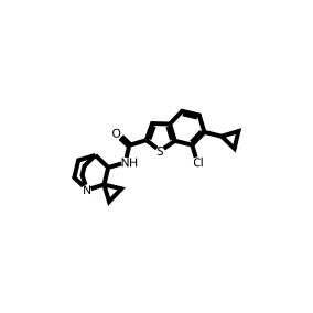 O=C(NC1C2CCN(CC2)C12CC2)c1cc2ccc(C3CC3)c(Cl)c2s1